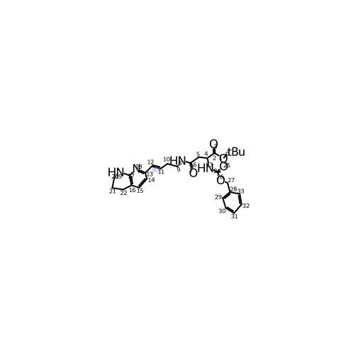 CC(C)(C)OC(=O)C(CC(=O)NCC/C=C/c1ccc2c(n1)NCCC2)NC(=O)OCc1ccccc1